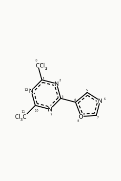 ClC(Cl)(Cl)c1nc(-c2cnco2)nc(C(Cl)(Cl)Cl)n1